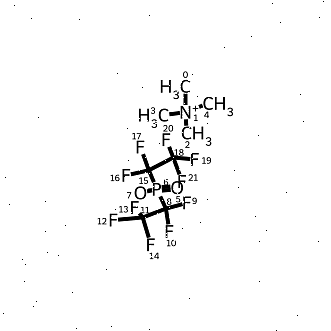 C[N+](C)(C)C.O=P([O-])(C(F)(F)C(F)(F)F)C(F)(F)C(F)(F)F